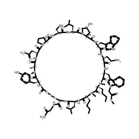 CCCC[C@H]1C(=O)N(C)[C@@H](CCCC)C(=O)N[C@@H](CC(C)C)C(=O)N[C@H](C(=O)NCC(N)=O)CSCC(=O)N[C@@H](Cc2ccc(O)cc2)C(=O)N(C)[C@@H](C)C(=O)N[C@@H](CC(N)=O)C(=O)N2CCC[C@H]2C(=O)N[C@@H](CN)C(=O)N[C@@H](CC(C)C)C(=O)N2C[C@H](O)C[C@H]2C(=O)N[C@@H](Cc2c[nH]c3ccccc23)C(=O)N[C@@H](CCN)C(=O)N[C@@H](Cc2cn(CC(=O)OC)c3ccccc23)C(=O)N1C